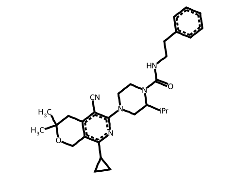 CC(C)C1CN(c2nc(C3CC3)c3c(c2C#N)CC(C)(C)OC3)CCN1C(=O)NCCc1ccccc1